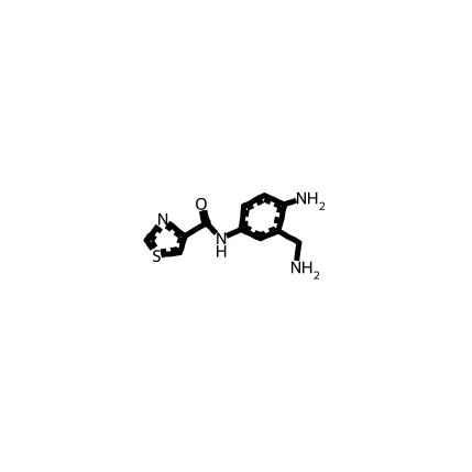 NCc1cc(NC(=O)c2cscn2)ccc1N